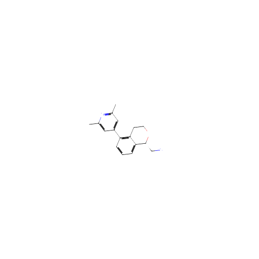 Cc1cc(-c2cccc3c2CCO[C@H]3CN)cc(C)n1